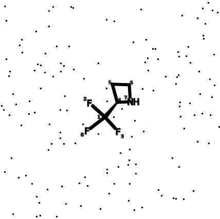 FC(F)(F)[C@H]1CCN1